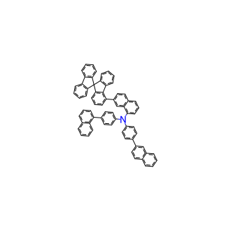 c1ccc2c(c1)-c1ccccc1C21c2ccccc2-c2c(-c3ccc4cccc(N(c5ccc(-c6ccc7ccccc7c6)cc5)c5ccc(-c6cccc7ccccc67)cc5)c4c3)cccc21